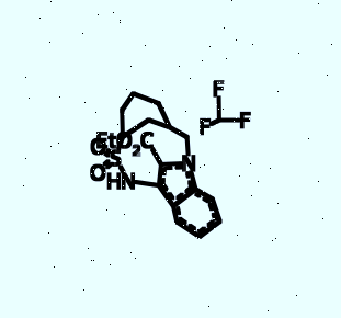 CCOC(=O)c1c2c3ccccc3n1CC1CCCC(C1)S(=O)(=O)N2.FC(F)F